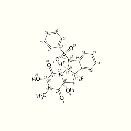 CN1C(=O)[C@]2(O)C[C@]3(F)c4ccccc4N(S(=O)(=O)c4ccccc4)[C@@H]3N2C(=O)[C@H]1O